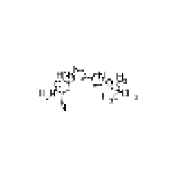 CC(C)(C)COc1ccc(-c2cnc3[nH]cc(C=C(C#N)C(N)=O)c3c2)cn1